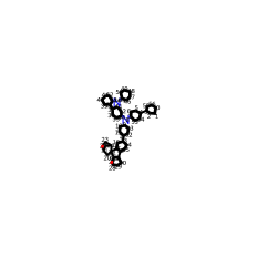 c1ccc(-c2ccc(N(c3ccc(-c4ccc5c(c4)C4(CC6CCC4C6)c4ccccc4-5)cc3)c3ccc4c5ccccc5n(-c5ccccc5)c4c3)cc2)cc1